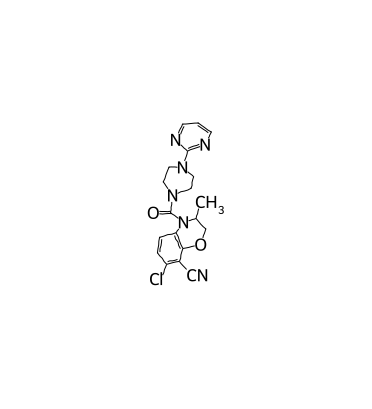 CC1COc2c(ccc(Cl)c2C#N)N1C(=O)N1CCN(c2ncccn2)CC1